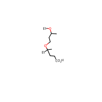 CCOC(C)CCOC(C)(CC)CCC(=O)O